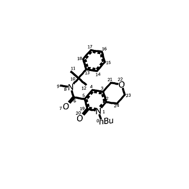 CCCCn1c2c(cc(C(=O)N(C)C(C)(C)c3ccccc3)c1=O)COCC2